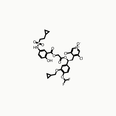 O=C(COC(=O)c1cc(NS(=O)(=O)CCC2CC2)ccc1O)O[C@@H](Cc1c(Cl)c[n+]([O-])cc1Cl)c1ccc(OC(F)F)c(OCC2CC2)c1